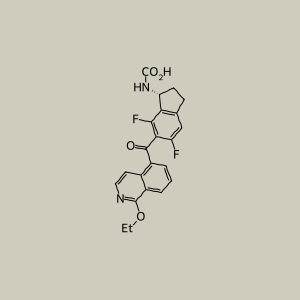 CCOc1nccc2c(C(=O)c3c(F)cc4c(c3F)[C@H](NC(=O)O)CC4)cccc12